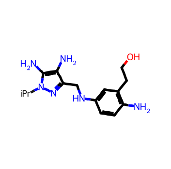 CC(C)n1nc(CNc2ccc(N)c(CCO)c2)c(N)c1N